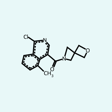 Cc1cccc2c(Cl)ncc(C(=O)N3CC4(COC4)C3)c12